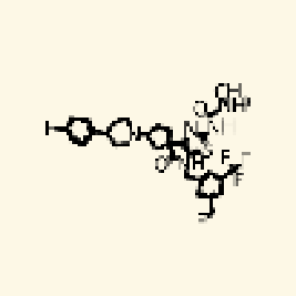 CNC(=O)Nc1nc(C2(C(=O)NCc3cc(CF)cc(C(F)(F)F)c3)CCC(N3CCC(c4ccc(F)cc4)CC3)C2)cs1